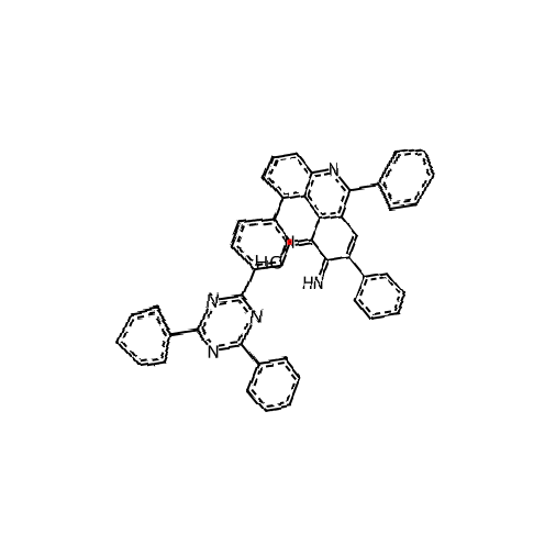 N=C1C(c2ccccc2)=Cc2c(-c3ccccc3)nc3cccc(-c4ccc(-c5nc(-c6ccccc6)nc(-c6ccccc6)n5)cc4)c3c2/C1=N/O